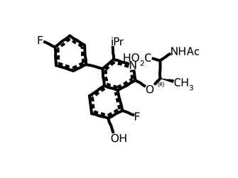 CC(=O)NC(C(=O)O)[C@@H](C)Oc1nc(C(C)C)c(-c2ccc(F)cc2)c2ccc(O)c(F)c12